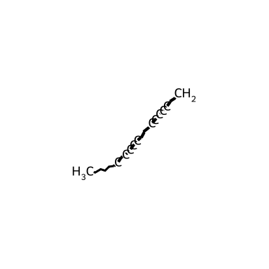 C=C=C=C=C=C=C=C=C=C=C=C=C=C=C=C=C=CCCCCC